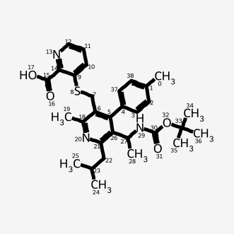 Cc1ccc(-c2c(CSc3cccnc3C(=O)O)c(C)nc(CC(C)C)c2C(C)NC(=O)OC(C)(C)C)cc1